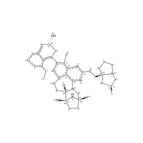 CCc1cccc2c1=C(c1cc3c4c(nc(OC[C@@]56CCCN5C[C@@H](F)C6)nc4c1F)N1C[C@@H]4CC[C@@H](N4)[C@@H]1CO3)C[C@@H](O)C=2